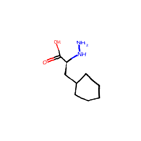 NN[C@@H](CC1CCCCC1)C(=O)O